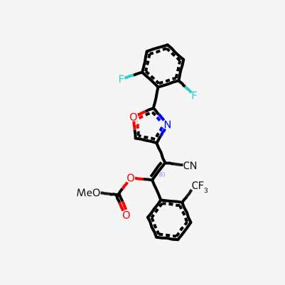 COC(=O)O/C(=C(/C#N)c1coc(-c2c(F)cccc2F)n1)c1ccccc1C(F)(F)F